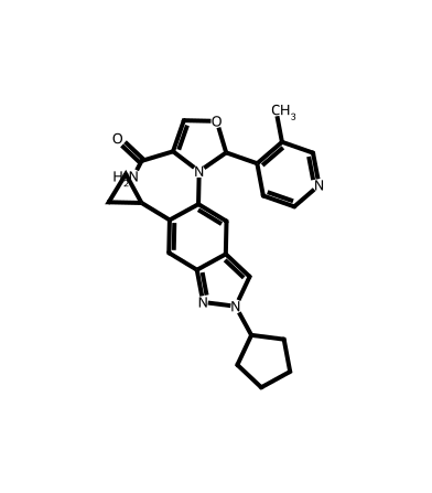 Cc1cnccc1C1OC=C(C(N)=O)N1c1cc2cn(C3CCCC3)nc2cc1C1CC1